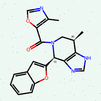 Cc1ncoc1C(=O)N1C[C@@H](C)c2[nH]cnc2[C@H]1c1cc2ccccc2o1